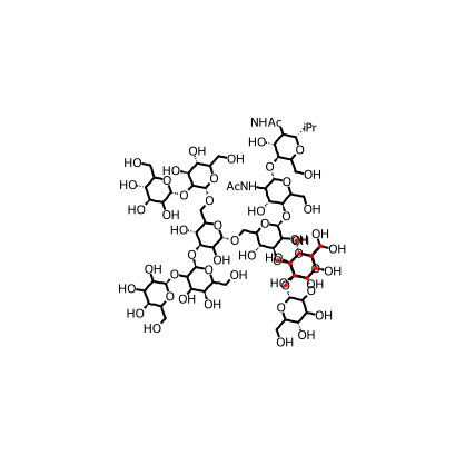 CC(=O)NC1[C@H](O[C@@H]2C(CO)O[C@@H](C(C)C)C(NC(C)=O)[C@H]2O)OC(CO)[C@@H](O[C@@H]2OC(CO[C@H]3OC(CO[C@H]4OC(CO)[C@@H](O)[C@H](O)C4O[C@H]4OC(CO)[C@@H](O)[C@H](O)C4O)[C@@H](O)[C@H](O[C@H]4OC(CO)[C@@H](O)C(O)C4O[C@H]4OC(CO)[C@@H](O)C(O)C4O)C3O)[C@@H](O)[C@H](O[C@H]3OC(CO)[C@@H](O)C(O)C3O[C@H]3OC(CO)[C@@H](O)C(O)C3O[C@H]3OC(CO)[C@@H](O)C(O)C3O)C2O)[C@@H]1O